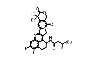 CC[C@@]1(O)C(=O)OCc2c1cc1n(c2=O)Cc2c-1nc1cc(F)c(C)c3c1c2[C@@H](NC(=O)CC(C)C(C)(C)C)CC3